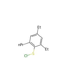 CCCc1cc(CC)cc(CC)c1SCl